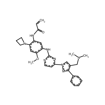 C=CC(=O)Nc1cc(Nc2nccc(-n3cc(CN(C)C)c(-c4ccccc4)n3)n2)c(OC)cc1N1CCC1